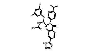 CC(C)c1ccc(-n2c(C(Cc3cc(F)cc(F)c3)NC(=O)O)nc3cc(-c4nnn[nH]4)ccc3c2=O)cn1